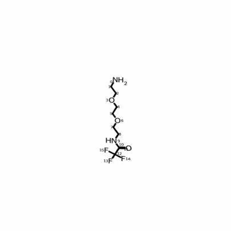 NCCOCCOCCNC(=O)C(F)(F)F